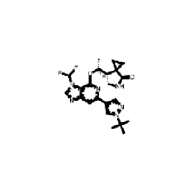 C[C@@H](Oc1nc(-c2cnn(C(C)(C)C)c2)cc2ncn(C(F)F)c12)[C@H]1CNC(=O)C12CC2